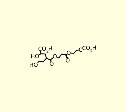 O=C(O)CCCOC(=O)CCOC(=O)C(CCO)CC(O)C(=O)O